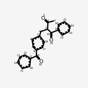 CC(=O)C(Cc1ccc(C(=O)c2ccccc2)cc1)C(=O)c1ccccc1